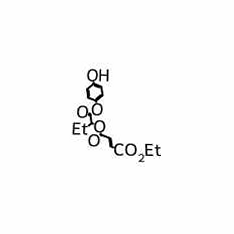 CCOC(=O)/C=C/C(=O)OC(CC)C(=O)Oc1ccc(O)cc1